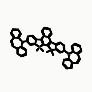 C[Si]1(C)c2cc(N3c4ccccc4C=Cc4ccccc43)ccc2-c2c1c1c(c3ccccc23)-c2ccc(N3c4ccccc4C=Cc4ccccc43)cc2[Si]1(C)C